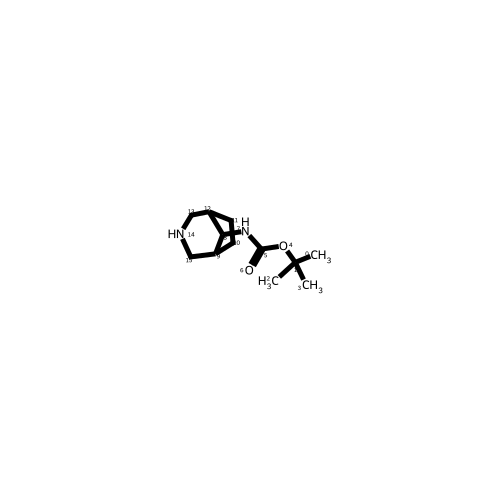 CC(C)(C)OC(=O)NC1C2CCC1CNC2